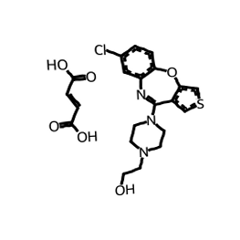 O=C(O)C=CC(=O)O.OCCN1CCN(C2=Nc3cc(Cl)ccc3Oc3cscc32)CC1